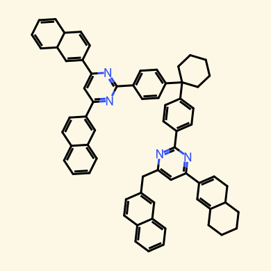 C1=CC2C=CC(c3cc(-c4ccc5ccccc5c4)nc(-c4ccc(C5(c6ccc(-c7nc(Cc8ccc9ccccc9c8)cc(C8=CCC9CCCCC9=C8)n7)cc6)CCCCC5)cc4)n3)=CC2C=C1